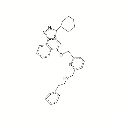 c1ccc(CCNCc2cccc(COc3nn4c(C5CCCCC5)nnc4c4ccccc34)n2)cc1